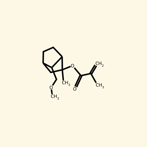 C=C(C)C(=O)OC1(C)CC2CCC1C2COC